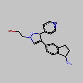 NC1CCc2cc(C3=CN(CCO)NC3c3ccncc3)ccc21